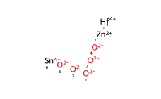 [Hf+4].[O-2].[O-2].[O-2].[O-2].[O-2].[Sn+4].[Zn+2]